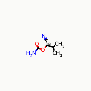 CC(C)[C@@H](C#N)OC(N)=O